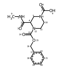 CNC(=O)C1CN(C(=O)O)CCN1C(=O)OCc1ccccc1